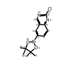 CC1(C)OB(c2ccc3nc(Cl)ncc3c2)OC1(C)C